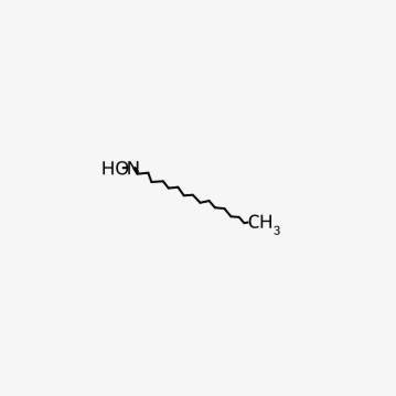 CCCCCCCCCCCCCCCC=NO